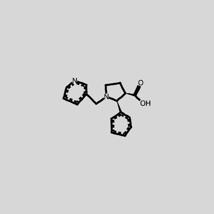 O=C(O)[C@@H]1CCN(Cc2cccnc2)[C@@H]1c1ccccc1